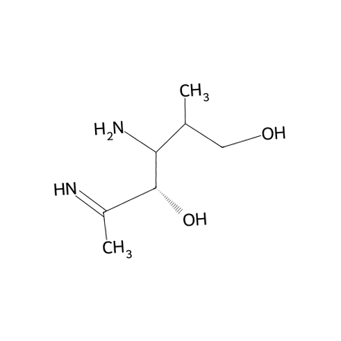 CC(=N)[C@@H](O)C(N)C(C)CO